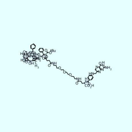 CC(=O)O[C@]12CO[C@H]1C[C@@H](O)[C@]1(C)C(=O)[C@@H](O)C3=C(C)[C@H](OC(=O)[C@@H](OC(=O)CCC(=O)NCCCOCCOCCOCCCNC(=O)CCC(NC(=O)c4ccc(NCc5cnc6c(=O)[nH]c(N)nc6n5)cc4)C(=O)O)[C@H](NC(=O)OC(C)(C)C)c4ccccc4)C[C@](O)([C@H](OC(=O)c4ccccc4)[C@@H]21)C3(C)C